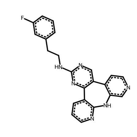 Fc1cccc(CCNc2ncc3c(n2)-c2cccnc2Nc2cnccc2-3)c1